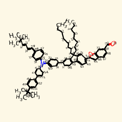 CCCCCCCCC1(CCCCCCCC)c2cc(-c3ccc(N(c4ccc(/C=C/C=C/C(C)(C)C)cc4)c4ccc(-c5ccc(C(C)(C)C)cc5)cc4)cc3)ccc2-c2ccc(-c3cc4ccc(C=O)cc4o3)cc21